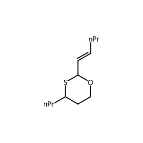 CCC/C=C/C1OCCC(CCC)S1